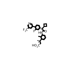 Cc1c(NC(=O)[C@@H](c2ccc(-c3cncc(C(F)(F)F)c3)c(F)c2)C2CCC2)cccc1[C@H](C)CC(=O)O